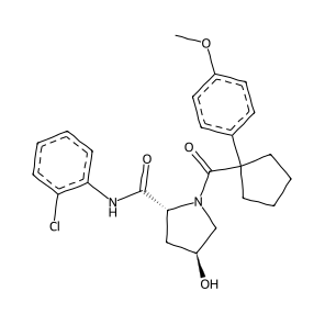 COc1ccc(C2(C(=O)N3C[C@@H](O)C[C@@H]3C(=O)Nc3ccccc3Cl)CCCC2)cc1